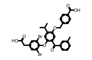 Cc1cccc(C(=O)c2cc(OCc3ccc(C(=O)O)cc3)c(C(C)C)cc2Oc2c(Br)cc(CC(=O)O)cc2Br)c1